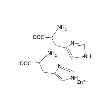 NC(Cc1c[nH]cn1)C(=O)[O-].NC(Cc1c[nH]cn1)C(=O)[O-].[Zn+2]